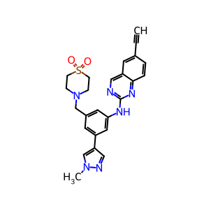 C#Cc1ccc2nc(Nc3cc(CN4CCS(=O)(=O)CC4)cc(-c4cnn(C)c4)c3)ncc2c1